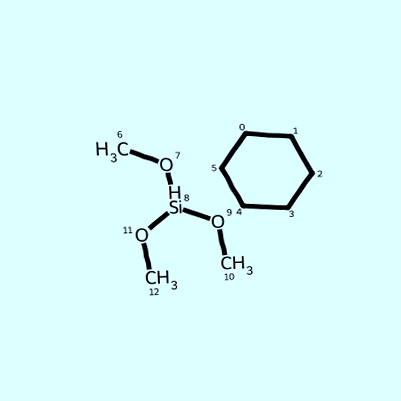 C1CCCCC1.CO[SiH](OC)OC